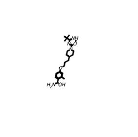 CO/C(=N\C(=N)C(C)(C)C)N1CCC(CCCOc2ccc(C(N)O)c(C)c2)CC1